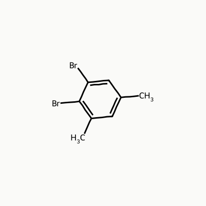 Cc1cc(C)c(Br)c(Br)c1